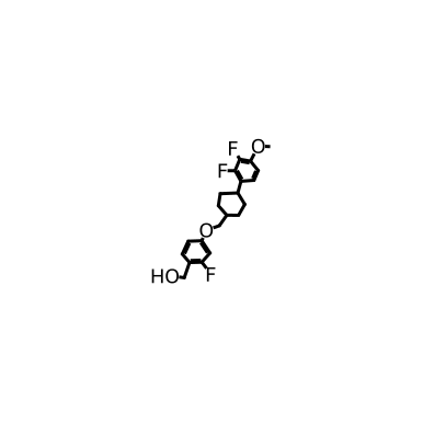 COc1ccc(C2CCC(COc3ccc(CO)c(F)c3)CC2)c(F)c1F